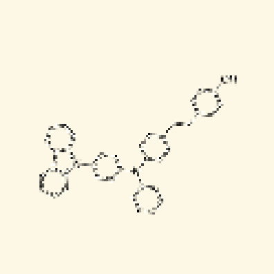 Oc1ccc(/C=C/c2ccc(N(c3ccccc3)c3ccc(-n4c5ccccc5c5ccccc54)cc3)cc2)cc1